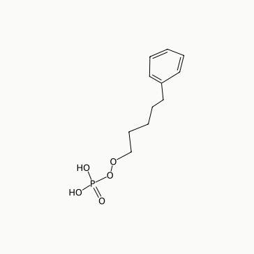 O=P(O)(O)OOCCCCCc1ccccc1